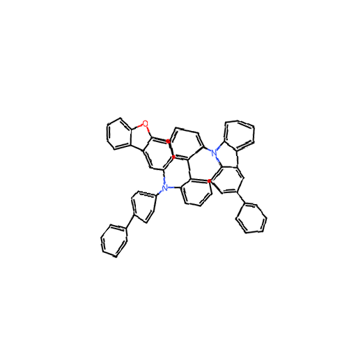 c1ccc(-c2ccc(N(c3ccc4oc5ccccc5c4c3)c3ccccc3-c3ccccc3-n3c4ccccc4c4cc(-c5ccccc5)ccc43)cc2)cc1